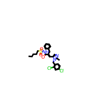 CCCCCS(=O)(=O)NC(=O)/C(=C/c1cnc(C)n1Cc1ccc(Cl)cc1Cl)Cc1ccccc1